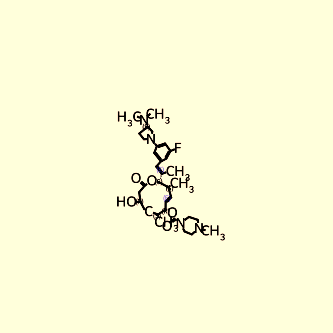 C/C(=C\c1cc(F)cc(N2CC[C@H](N(C)C)C2)c1)[C@H]1OC(=O)C[C@H](O)CC[C@H](C)[C@@H](OC(=O)N2CCN(C)CC2)/C=C/[C@@H]1C